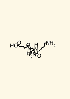 NCCCC[C@H](NC(=O)CNC(=O)CCCC(=O)O)C(N)=O